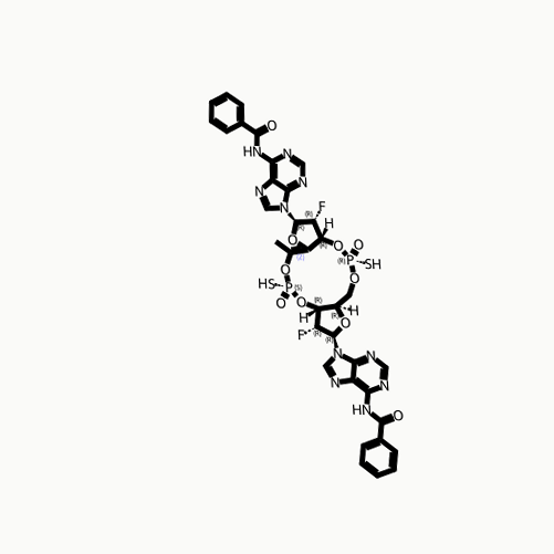 C/C1=C2/O[C@@H](n3cnc4c(NC(=O)c5ccccc5)ncnc43)[C@H](F)[C@@H]2O[P@](=O)(S)OC[C@H]2O[C@@H](n3cnc4c(NC(=O)c5ccccc5)ncnc43)[C@H](F)[C@@H]2O[P@](=O)(S)O1